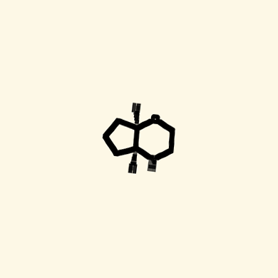 C1C[C@@H]2NCCO[C@@H]2C1